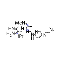 CN/C=C(F)\C(=N/CNc1ccc(N(C)CCN(C)C)cn1)N1CCC(=N)/C(=C(\N)C(C)C)C1